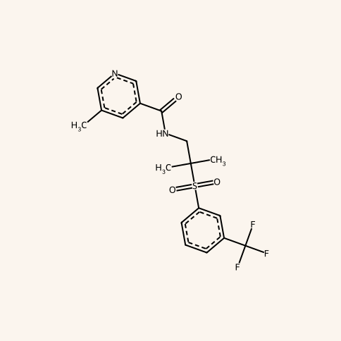 Cc1cncc(C(=O)NCC(C)(C)S(=O)(=O)c2cccc(C(F)(F)F)c2)c1